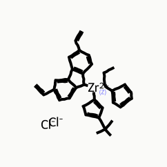 C=Cc1ccc2c(c1)-c1cc(C=C)ccc1[CH]2/[Zr+2]([C]1=CC(C(C)(C)C)=CC1)=[C](\CC)c1ccccc1.[Cl-].[Cl-]